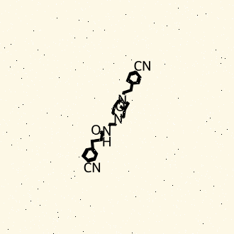 N#Cc1ccc(CCC(=O)NCCN2CC3CN(CCc4ccc(C#N)cc4)CC(C2)O3)cc1